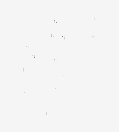 CC(C)c1cnn(-c2cnn3ccc(N4CC[C@H]5C[C@]54c4cc(F)ccc4F)nc23)n1